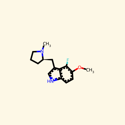 COc1ccc2[nH]cc(C[C@H]3CCCN3C)c2c1F